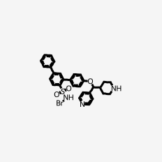 O=S(=O)(NBr)c1ccc(-c2ccccc2)cc1-c1ccc(OC(c2ccncc2)C2CCNCC2)cc1